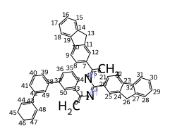 C=C(/N=C(\N=C(/C)c1ccc2c(c1)Cc1ccccc1-2)c1ccc2c(c1)Cc1ccccc1-2)c1cccc(-c2cccc(C3=CCCC=C3)c2)c1